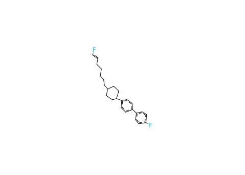 FC=CCCCCCC1CCC(c2ccc(-c3ccc(F)cc3)cc2)CC1